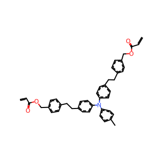 C=CC(=O)OCc1ccc(CCc2ccc(N(c3ccc(C)cc3)c3ccc(CCc4ccc(COC(=O)C=C)cc4)cc3)cc2)cc1